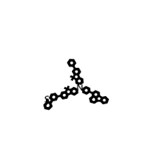 CC1(C)c2cc(-c3ccccc3)ccc2-c2ccc(N(c3ccc(-c4ccc5c6c(cccc46)-c4ccccc4-5)cc3)c3ccc4c(c3)C(C)(C)c3cc(-c5ccc6sc7ccccc7c6c5)ccc3-4)cc21